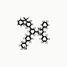 CC1(C)c2ccccc2-c2cc(-c3cc(-c4ccc(-c5cccnc5)cc4)cc(-c4nc(-c5ccccc5)cc(-c5ccccc5)n4)c3)ccc21